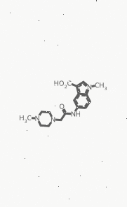 CN1CCN(CC(=O)Nc2ccc3c(c2)c(C(=O)O)cn3C)CC1